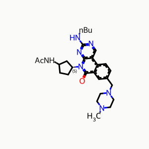 CCCCNc1ncc2c3ccc(CN4CCN(C)CC4)cc3c(=O)n([C@H]3CCC(NC(C)=O)C3)c2n1